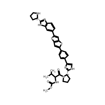 COC(=O)NC(C(=O)N1CCC[C@H]1c1nc(-c2ccc(-c3cc4sc(-c5ccc6nc([C@@H]7CCCN7)[nH]c6c5)cc4s3)cc2)c[nH]1)C(C)C